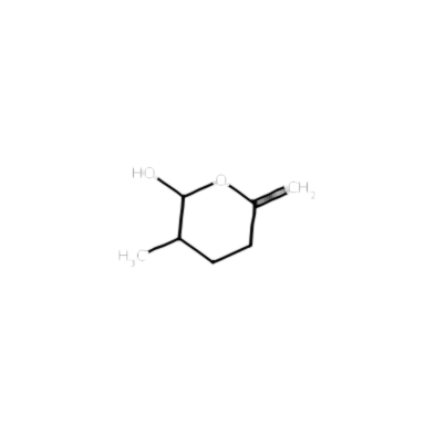 C=C1CCC(C)C(O)O1